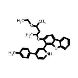 CCOC(C)CC(C)Oc1ccc2c(oc3ccccc32)c1C1C=C(c2ccc(C)cc2)C=CN1